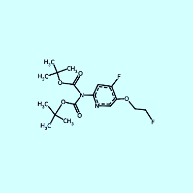 CC(C)(C)OC(=O)N(C(=O)OC(C)(C)C)c1cc(F)c(OCCF)cn1